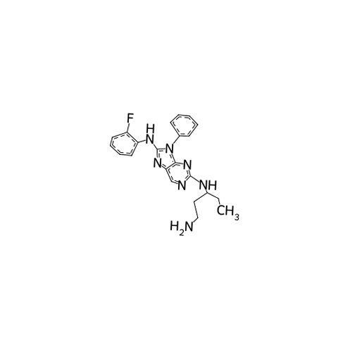 CCC(CCN)Nc1ncc2nc(Nc3ccccc3F)n(-c3ccccc3)c2n1